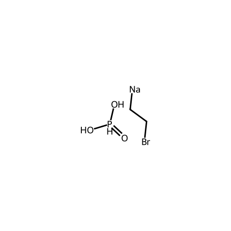 O=[PH](O)O.[Na][CH2]CBr